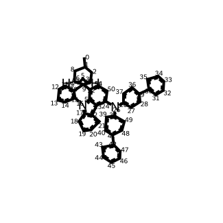 CC1C[C@@H]2CCC[C@@H](C1)C21c2ccccc2-n2c3ccccc3c3c(N(c4ccc(-c5ccccc5)cc4)c4ccc(-c5ccccc5)cc4)ccc1c32